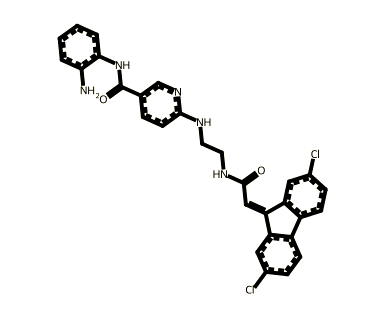 Nc1ccccc1NC(=O)c1ccc(NCCNC(=O)C=C2c3cc(Cl)ccc3-c3ccc(Cl)cc32)nc1